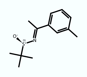 CC(=N[S@+]([O-])C(C)(C)C)c1cccc(C)c1